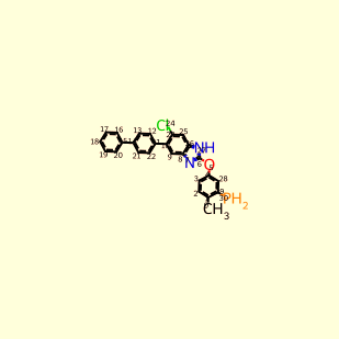 Cc1ccc(Oc2nc3cc(-c4ccc(-c5ccccc5)cc4)c(Cl)cc3[nH]2)cc1P